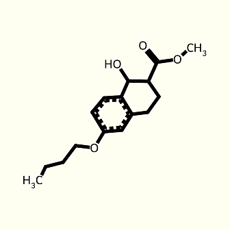 CCCCOc1ccc2c(c1)CCC(C(=O)OC)C2O